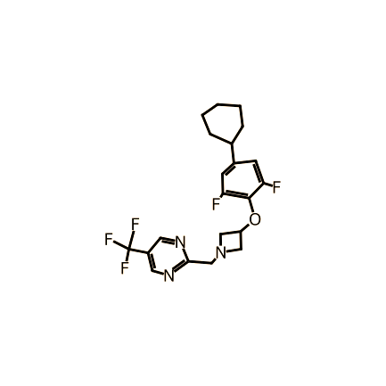 Fc1cc(C2CCCCC2)cc(F)c1OC1CN(Cc2ncc(C(F)(F)F)cn2)C1